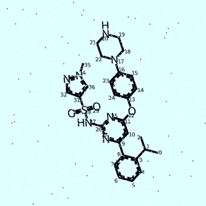 CC(C)c1ccccc1-c1cc(Oc2ccc(N3CCNCC3)cc2)nc(NS(=O)(=O)c2cnn(C)c2)n1